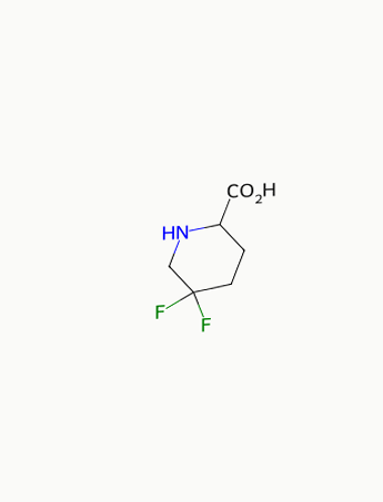 O=C(O)C1CCC(F)(F)CN1